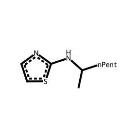 CCCCCC(C)Nc1nccs1